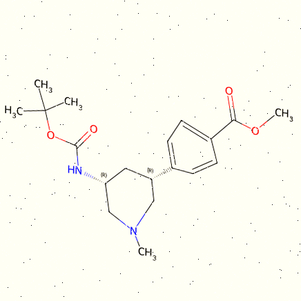 COC(=O)c1ccc([C@H]2C[C@@H](NC(=O)OC(C)(C)C)CN(C)C2)cc1